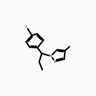 CCC(c1ccc(F)cc1)n1cc(I)cn1